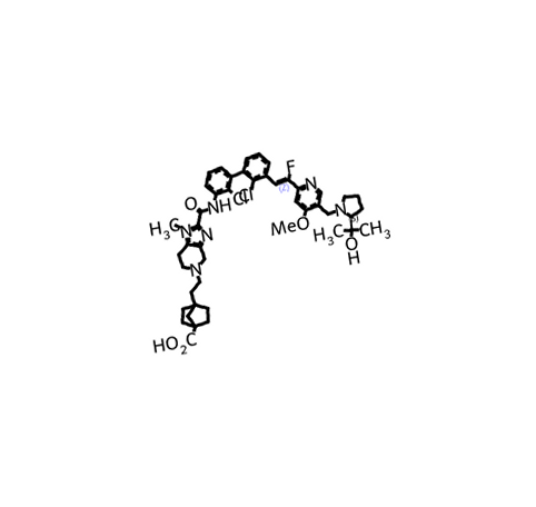 COc1cc(/C(F)=C/c2cccc(-c3cccc(NC(=O)c4nc5c(n4C)CCN(CCC46CCC(C(=O)O)(CC4)C6)C5)c3Cl)c2Cl)ncc1CN1CCC[C@H]1C(C)(C)O